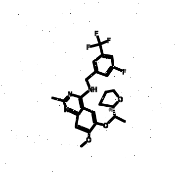 COc1cc2nc(C)nc(NCc3cc(F)cc(C(F)(F)F)c3)c2cc1OC(C)[C@@H]1CCCO1